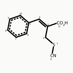 N#CSCC(=Cc1ccccc1)C(=O)O